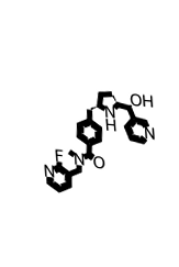 CN(Cc1cccnc1F)C(=O)c1ccc(C[C@@H]2CC[C@H]([C@H](O)c3cccnc3)N2)cc1